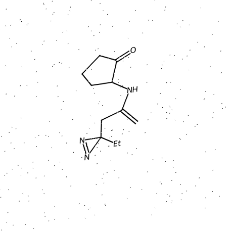 C=C(CC1(CC)N=N1)NC1CCCC1=O